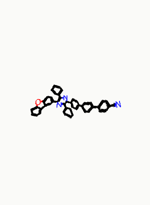 N#Cc1ccc(-c2ccc(-c3ccc(-c4nc(-c5ccccc5)c(-c5ccc6oc7ccccc7c6c5)nc4-c4ccccc4)cc3)cc2)cc1